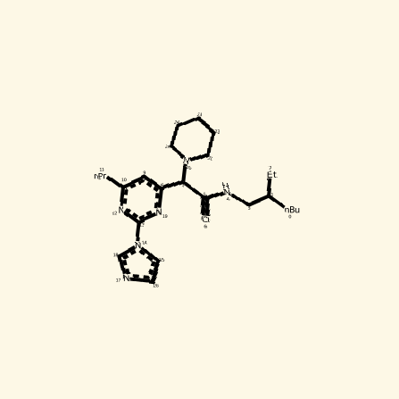 CCCCC(CC)CNC(=O)C(c1cc(CCC)nc(-n2ccnc2)n1)N1CCCCC1